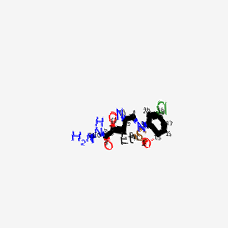 CC[S+]([O-])N(Cc1cc(C(=O)NN)on1)c1cccc(Cl)c1